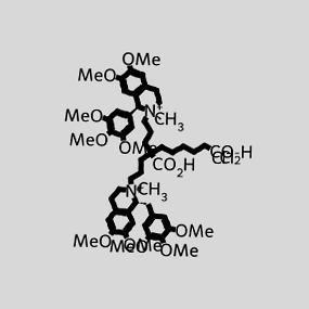 COc1cc2c(cc1OC)[C@H](c1cc(OC)c(OC)c(OC)c1)[N@+](C)(CCCC(CCCCCC(=O)O)(CCC[N@@+]1(C)CCc3cc(OC)c(OC)cc3[C@H]1Cc1cc(OC)c(OC)c(OC)c1)C(=O)O)CC2.[Cl-].[Cl-]